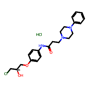 Cl.O=C(CCN1CCN(c2ccccc2)CC1)Nc1ccc(OC[C@@H](O)CCl)cc1